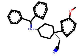 COc1cccc([C@]2(CC#N)CC[C@@H](NC(c3ccccc3)c3ccccc3)CC2)c1